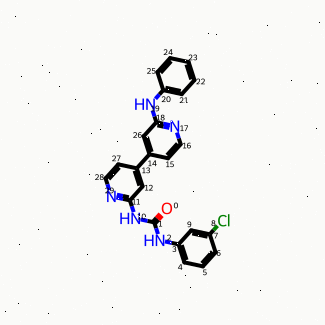 O=C(Nc1cccc(Cl)c1)Nc1cc(-c2ccnc(Nc3ccccc3)c2)ccn1